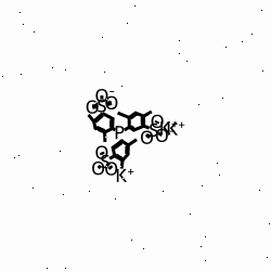 Cc1cc(C)c(S(=O)(=O)[O-])cc1P(c1cc(S(=O)(=O)[O-])c(C)cc1C)c1cc(S(=O)(=O)[O-])c(C)cc1C.[K+].[K+].[K+]